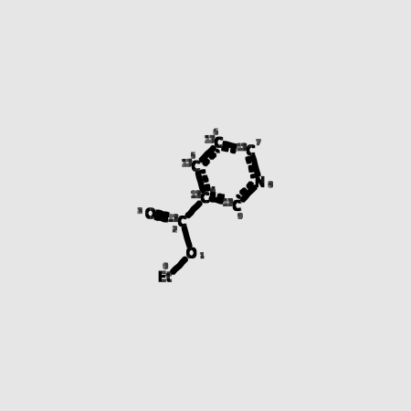 CCO[13C](=O)[13c]1[13cH][13cH][13cH]n[13cH]1